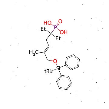 CCC(CC)(CC=C(C)CO[Si](c1ccccc1)(c1ccccc1)C(C)(C)C)P(=O)(O)O